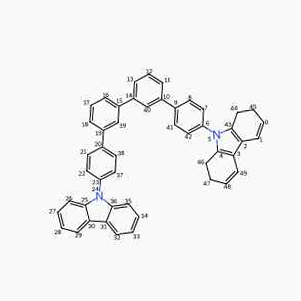 C1=Cc2c3c(n(-c4ccc(-c5cccc(-c6cccc(-c7ccc(-n8c9ccccc9c9ccccc98)cc7)c6)c5)cc4)c2CC1)CCC=C3